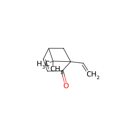 C=CC12CC(C=CC1=O)C2(C)C